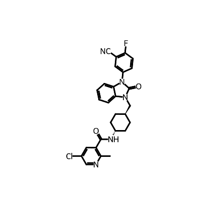 Cc1ncc(Cl)cc1C(=O)N[C@H]1CC[C@H](Cn2c(=O)n(-c3ccc(F)c(C#N)c3)c3ccccc32)CC1